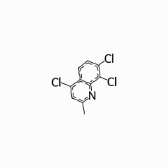 Cc1cc(Cl)c2ccc(Cl)c(Cl)c2n1